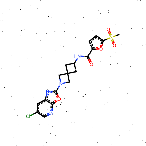 CS(=O)(=O)c1ccc(C(=O)NC2CC3(C2)CN(c2nc4cc(Cl)cnc4o2)C3)o1